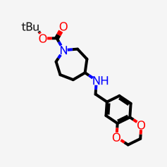 CC(C)(C)OC(=O)N1CCCC(NCc2ccc3c(c2)OCCO3)CC1